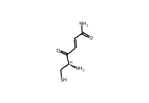 NC(=O)C=CC(=O)[C@@H](N)CS